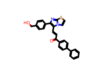 O=C(/C=C/c1c(-c2ccc(CO)cc2)nc2sccn12)c1ccc(-c2ccccc2)cc1